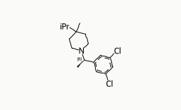 CC(C)C1(C)CCN([C@H](C)c2cc(Cl)cc(Cl)c2)CC1